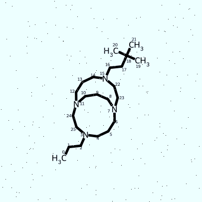 CCCN1CCCN2CCCN(CCCN(CCC(C)(C)C)CC2)CC1